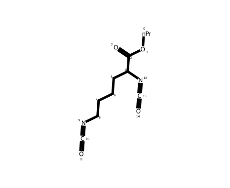 CCCOC(=O)C(CCCCN=C=O)N=C=O